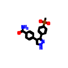 CS(=O)(=O)c1ccc(-c2n[nH]cc2-c2ccc(C(N)=O)cc2)cc1